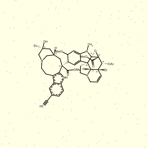 C#Cc1ccc2[nH]c3c(c2c1)CCN1C[C@H](C[C@@](O)(CC)C1)C[C@]3(C(=O)OC)C1C=C2C(=CC1OC)N(C)[C@@]13O[C@]1(C(=O)OC)[C@H](OC(C)=O)[C@]1(CC)C=CCN4CC[C@]23[C@@H]41